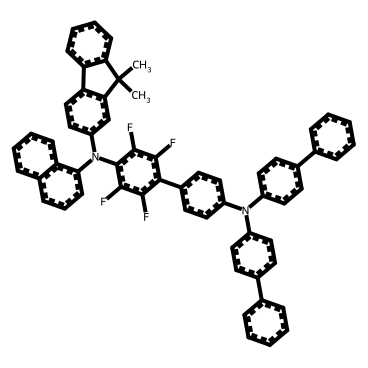 CC1(C)c2ccccc2-c2ccc(N(c3c(F)c(F)c(-c4ccc(N(c5ccc(-c6ccccc6)cc5)c5ccc(-c6ccccc6)cc5)cc4)c(F)c3F)c3cccc4ccccc34)cc21